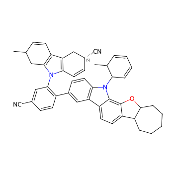 CC1C=Cc2c3c(n(-c4cc(C#N)ccc4-c4ccc5c(c4)c4ccc6c(c4n5C4C=CC=CC4C)OC4CCCCCC64)c2C1)C=C[C@@H](C#N)C3